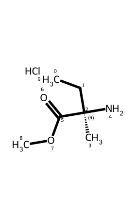 CC[C@@](C)(N)C(=O)OC.Cl